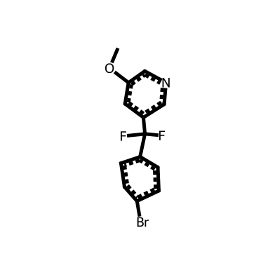 COc1cncc(C(F)(F)c2ccc(Br)cc2)c1